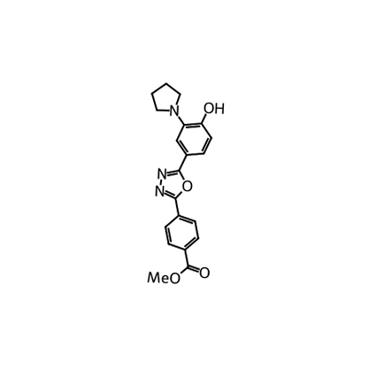 COC(=O)c1ccc(-c2nnc(-c3ccc(O)c(N4CCCC4)c3)o2)cc1